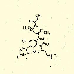 C=CC(=O)N1C[C@H](C)N(c2nc(=O)n3c4c(c(-c5ccc(F)cc5F)c(Cl)cc24)OCC3CCN2CCCC2)C[C@H]1C